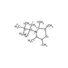 CC1OC(C)C(C)N(C(C)(C)C(C)(C)C)C1C